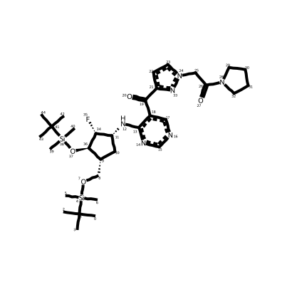 CC(C)(C)[Si](C)(C)OC[C@H]1C[C@@H](Nc2ncncc2C(=O)c2ccn(CC(=O)N3CCCC3)n2)[C@@H](F)[C@@H]1O[Si](C)(C)C(C)(C)C